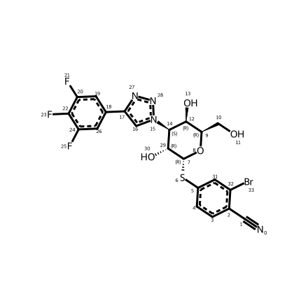 N#Cc1ccc(S[C@H]2O[C@H](CO)[C@H](O)[C@H](n3cc(-c4cc(F)c(F)c(F)c4)nn3)[C@H]2O)cc1Br